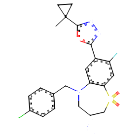 CC1(c2nnc(-c3cc4c(cc3F)S(=O)(=O)C[C@H](N)CN4Cc3ccc(Cl)cc3)o2)CC1